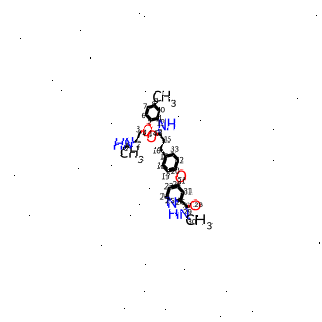 CNCCOc1ccc(C)cc1NC(=O)CCc1ccc(Oc2ccnc(C(=O)NC)c2)cc1